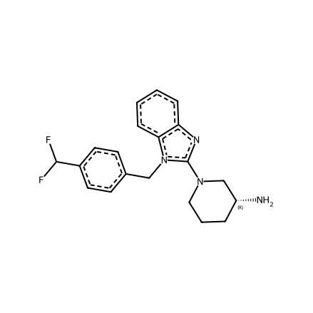 N[C@@H]1CCCN(c2nc3ccccc3n2Cc2ccc(C(F)F)cc2)C1